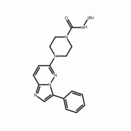 CC(C)(C)NC(=O)N1CCN(c2ccc3ncc(-c4ccccc4)n3n2)CC1